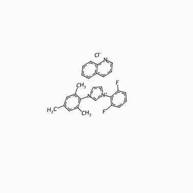 Cc1cc(C)c(-n2cc[n+](-c3c(F)cccc3F)c2)c(C)c1.[Cl-].c1ccc2ncccc2c1